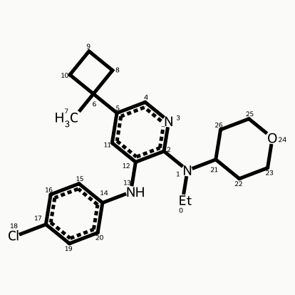 CCN(c1ncc(C2(C)CCC2)cc1Nc1ccc(Cl)cc1)C1CCOCC1